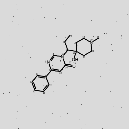 CCC(n1cnc(-c2ccccc2)cc1=O)C1(O)CCN(C)CC1